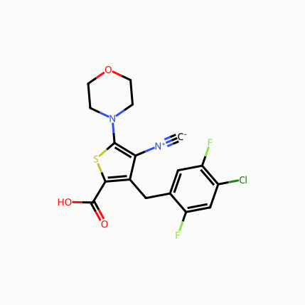 [C-]#[N+]c1c(N2CCOCC2)sc(C(=O)O)c1Cc1cc(F)c(Cl)cc1F